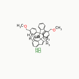 COCc1ccc([C]2([Zr]([SiH](C)C)[C]3(c4ccc(COC)cc4)C(C)=Cc4ccccc43)C(C)=Cc3ccccc32)cc1.Cl.Cl